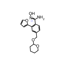 N/C(=N\O)c1ccc(COC2CCCCO2)cc1-c1ccco1